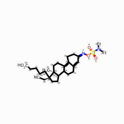 CCN(CC)S(=O)(=O)ON=C1C=C2CCC3C(=C2CC1)CC[C@@]1(C)C3CC[C@]1(CC#N)CCCCC(=O)O